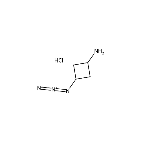 Cl.[N-]=[N+]=NC1CC(N)C1